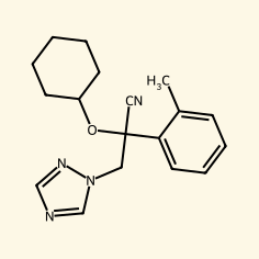 Cc1ccccc1C(C#N)(Cn1cncn1)OC1CCCCC1